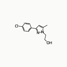 Cc1cc(-c2c[c]c(Cl)cc2)nn1CCO